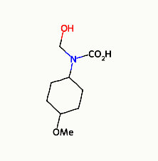 COC1CCC(N(CO)C(=O)O)CC1